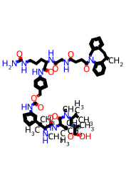 C=C1Cc2ccccc2CN(C(=O)CCC(=O)NCC(=O)NC(CCCNC(N)=O)C(=O)Nc2ccc(COC(=O)Nc3cccc(C(C)(C)C(NC)C(=O)NC(C(=O)N(C)C(/C=C(\C)C(=O)O)C(C)C)C(C)(C)C)c3)cc2)c2ccccc21